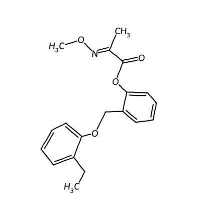 CCc1ccccc1OCc1ccccc1OC(=O)C(C)=NOC